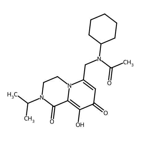 CC(=O)N(Cc1cc(=O)c(O)c2n1CCN(C(C)C)C2=O)C1CCCCC1